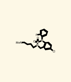 CNCCCCN1Cc2cc(Cl)ccc2N(c2ccccc2F)S1(=O)=O